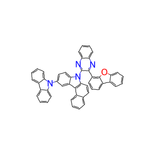 c1ccc2c(c1)ccc1c2c2cc(-n3c4ccccc4c4ccccc43)ccc2n1-c1nc2ccccc2nc1-c1cccc2c1oc1ccccc12